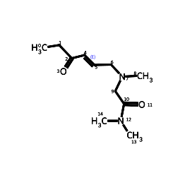 CCC(=O)/C=C/CN(C)CC(=O)N(C)C